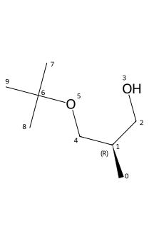 C[C@H](CO)COC(C)(C)C